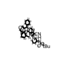 CC(C)(C)OC(=O)N[C@H]1CCCN(c2c(C#N)c3ncn(C(C4=CC=CCC4)C4=COC=CO4)c(=O)c3n2Cc2ccccc2)C1